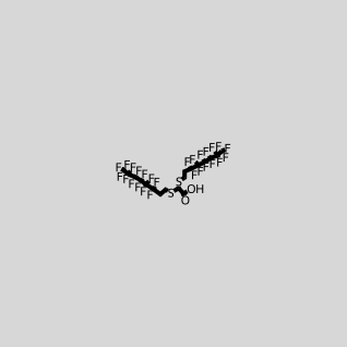 O=C(O)C(SCCC(F)(F)C(F)(F)C(F)(F)C(F)(F)C(F)(F)C(F)(F)F)SCCC(F)(F)C(F)(F)C(F)(F)C(F)(F)C(F)(F)C(F)(F)F